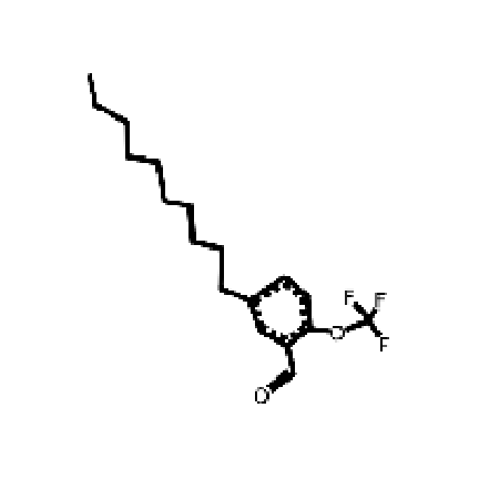 CCCCCCCCCCc1ccc(OC(F)(F)F)c(C=O)c1